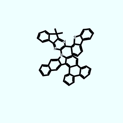 CC1(C)c2ccccc2-c2nc(-n3c4cc5ccccc5cc4c4c5c6ccccc6c6ccccc6c5ccc43)c(-c3cccc4c3sc3ccccc34)nc21